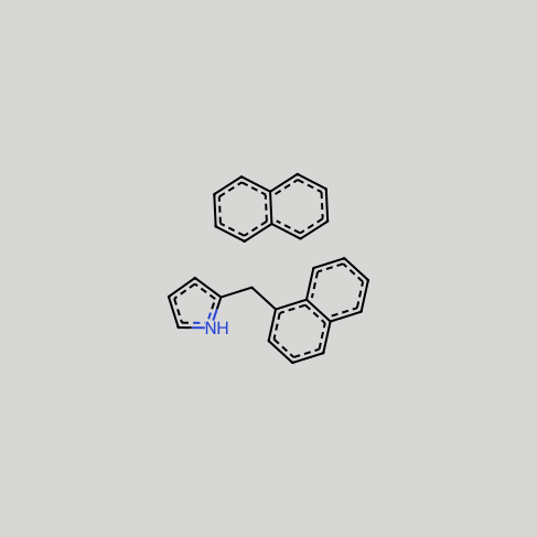 c1c[nH]c(Cc2cccc3ccccc23)c1.c1ccc2ccccc2c1